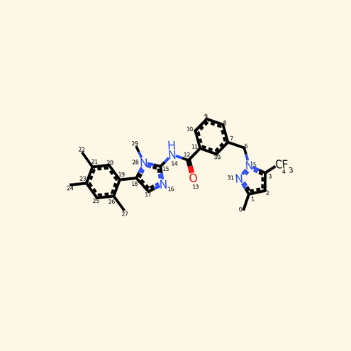 Cc1cc(C(F)(F)F)n(Cc2cccc(C(=O)Nc3ncc(-c4cc(C)c(C)cc4C)n3C)c2)n1